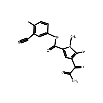 Cn1c(C(=O)Nc2ccc(F)c(C#N)c2)cc(C(=O)C(N)=O)c1Br